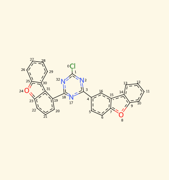 Clc1nc(-c2ccc3oc4ccccc4c3c2)nc(-c2cccc3oc4ccccc4c23)n1